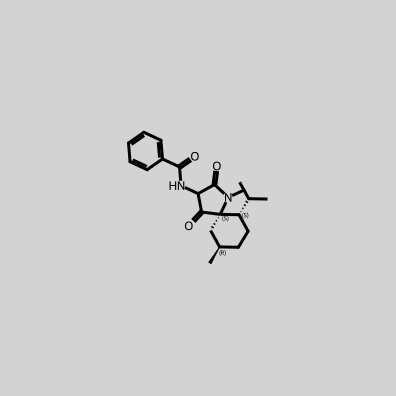 CC(C)[C@@H]1CC[C@@H](C)C[C@@]12C(=O)C(NC(=O)c1ccccc1)C(=O)N2C